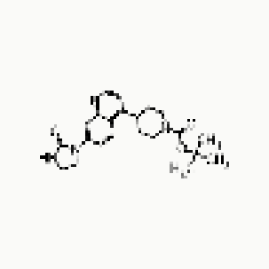 CC(C)(C)OC(=O)N1CCC(c2ccnc3cc(N4CCNC4=O)ccc23)CC1